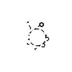 CC(C)C[C@@H]1NC(=O)[C@H](CC(=O)O)NC(=O)CNC(=O)[C@H](CCCNC(=N)N)NC(=O)[C@H](Cc2ccccc2)NC(=O)[C@H](C)NC(=O)[C@@H]2CCCN2C(=O)[C@H]2CCCN2C1=O